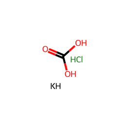 Cl.O=C(O)O.[KH]